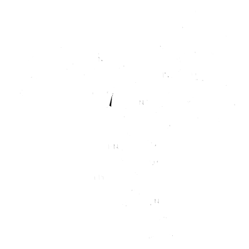 CCC[C@H](NC(=O)[C@@H]1C[C@]2(CC(c3cccc(Cl)c3)=NO2)CN1C(=O)C(NS(=O)(=O)c1ccc(F)cc1)c1ccccc1)C(=O)C(=O)NC1CC1